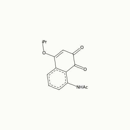 CC(=O)Nc1cccc2c1C(=O)C(=O)C=C2OC(C)C